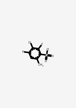 Cc1cc(F)c(Cl)c(F)c1S(=O)(=O)Cl